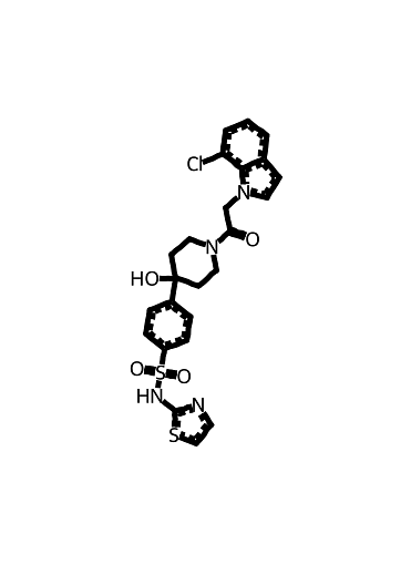 O=C(Cn1ccc2cccc(Cl)c21)N1CCC(O)(c2ccc(S(=O)(=O)Nc3nccs3)cc2)CC1